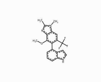 COc1c(-c2cccc3[nH]ccc23)c(C(F)(F)F)cc2c1nc(C)n2C